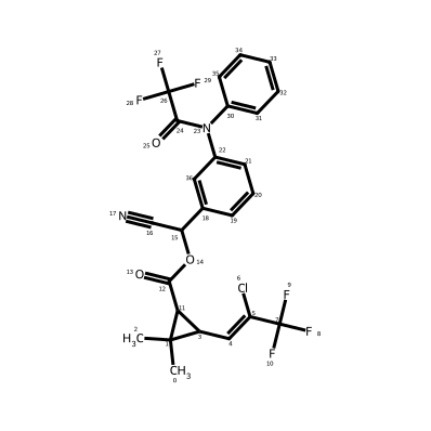 CC1(C)C(C=C(Cl)C(F)(F)F)C1C(=O)OC(C#N)c1cccc(N(C(=O)C(F)(F)F)c2ccccc2)c1